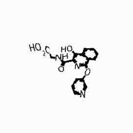 O=C(O)CNC(=O)c1nc(Oc2cccnc2)c2ccccc2c1O